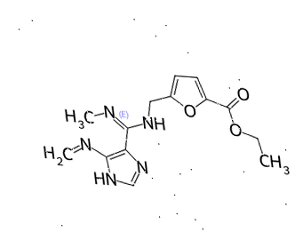 C=Nc1[nH]cnc1/C(=N\C)NCc1ccc(C(=O)OCC)o1